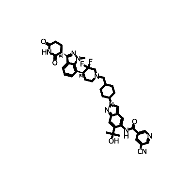 Cn1nc([C@H]2CCC(=O)NC2=O)c2cccc([C@@H]3CCN(CC4CCC(n5cc6cc(NC(=O)c7cncc(C#N)c7)c(C(C)(C)O)cc6n5)CC4)CC3(F)F)c21